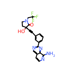 Nc1nccc2cnc(-c3cccc(C#C[C@]4(O)CCN(CC(F)(F)F)C4=O)c3)nc12